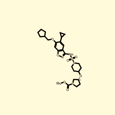 CC(C)(C)OC(=O)N1CC[C@@H](OC2CCN(S(=O)(=O)Nc3noc4cc(OCC5CCCC5)c(C5CC5)cc34)CC2)C1